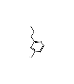 COCc1nc[c]c(Br)n1